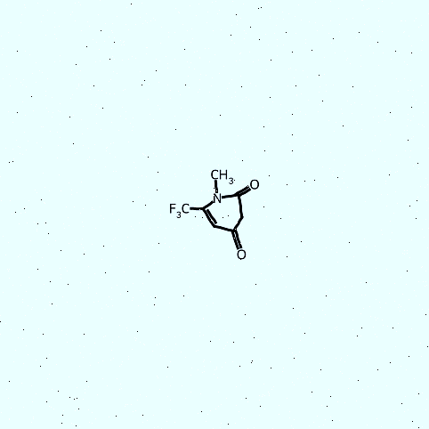 CN1C(=O)CC(=O)C=C1C(F)(F)F